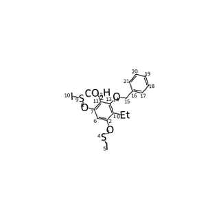 CCc1c(OSI)cc(OSI)c(C(=O)O)c1OCc1ccccc1